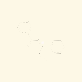 CCC(C)N(C)/C(=N\C(=N)c1ccccc1)c1ccccc1